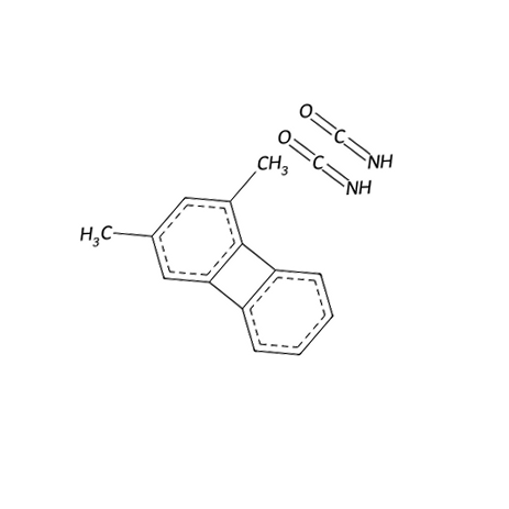 Cc1cc(C)c2c(c1)-c1ccccc1-2.N=C=O.N=C=O